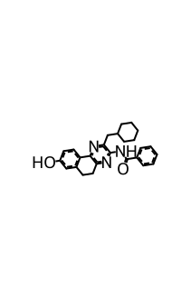 O=C(Nc1nc2c(nc1CC1CCCCC1)-c1ccc(O)cc1CC2)c1ccccc1